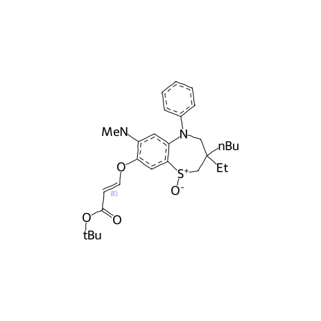 CCCCC1(CC)CN(c2ccccc2)c2cc(NC)c(O/C=C/C(=O)OC(C)(C)C)cc2[S+]([O-])C1